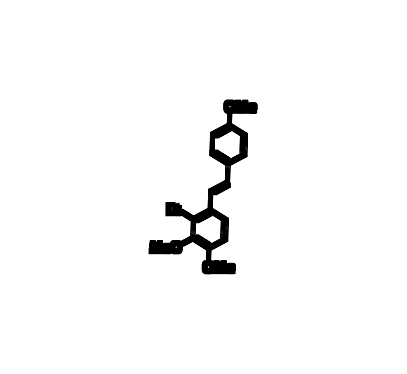 CCc1c(C=Cc2ccc(OC)cc2)ccc(OC)c1OC